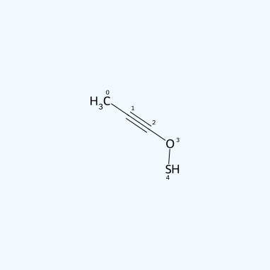 CC#COS